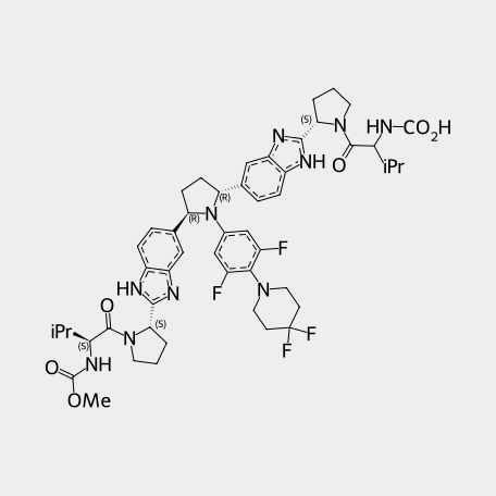 COC(=O)N[C@H](C(=O)N1CCC[C@H]1c1nc2cc([C@H]3CC[C@H](c4ccc5[nH]c([C@@H]6CCCN6C(=O)C(NC(=O)O)C(C)C)nc5c4)N3c3cc(F)c(N4CCC(F)(F)CC4)c(F)c3)ccc2[nH]1)C(C)C